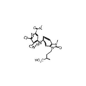 CC(CCn1c(=O)n(C)c2ccc(Nc3cc(C(=O)N(C)C)nc(Cl)c3C#N)cc21)C(=O)O